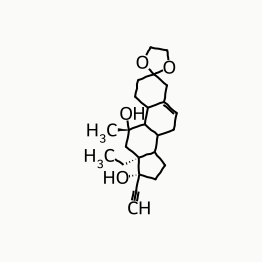 C#C[C@]1(O)CCC2C3CC=C4CC5(CCC4C3[C@@](C)(O)C[C@@]21CC)OCCO5